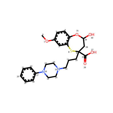 COc1ccc2c(c1)SC(CCCN1CCN(c3ccccc3)CC1)(C(=O)O)CC(O)O2